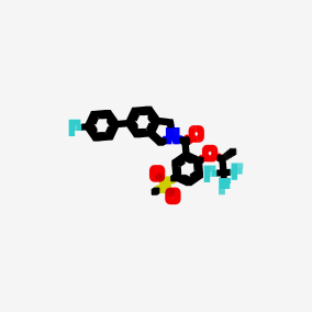 C[C@H](Oc1ccc(S(C)(=O)=O)cc1C(=O)N1Cc2ccc(-c3ccc(F)cc3)cc2C1)C(F)(F)F